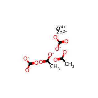 CC(=O)[O-].CC(=O)[O-].O=C([O-])[O-].O=C([O-])[O-].[Zn+2].[Zr+4]